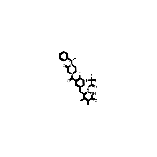 Cc1c(C)c(=O)[nH][n+](OC(=O)C(F)(F)F)c1Cc1ccc(F)c(C(=O)N2CCN([C@H](C)c3ccccc3)C(=O)C2)c1